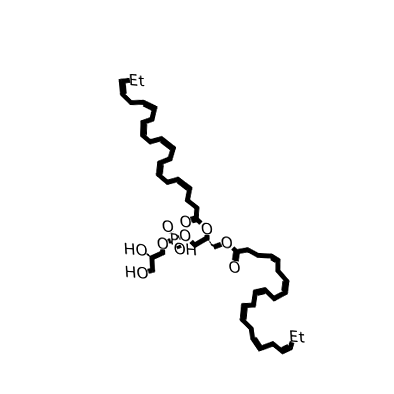 CC/C=C\C/C=C\C/C=C\C/C=C\C/C=C\C/C=C\CCC(=O)OC[C@H](COP(=O)(O)OC[C@@H](O)CO)OC(=O)CC/C=C\C/C=C\C/C=C\C/C=C\C/C=C\C/C=C\CC